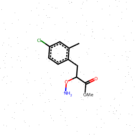 COC(=O)C(Cc1ccc(Cl)cc1C)ON